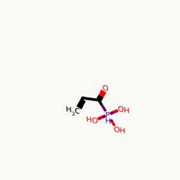 C=CC(=O)[PH](O)(O)O